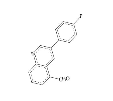 O=Cc1cccc2ncc(-c3ccc(F)cc3)cc12